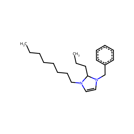 CCCCCCCCN1C=CN(Cc2ccccc2)C1CCC